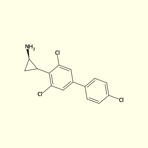 N[C@@H]1CC1c1c(Cl)cc(-c2ccc(Cl)cc2)cc1Cl